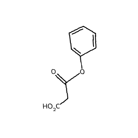 O=C(O)CC(=O)Oc1ccccc1